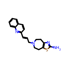 Nc1nc2c(s1)CCN(CC=Cc1ccc3ccccc3n1)CC2